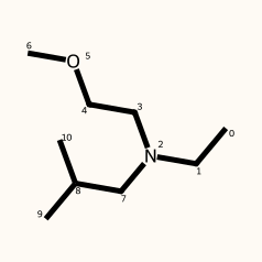 CCN(CCOC)CC(C)C